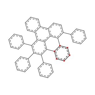 c1ccc(-c2ccc3c4ccccc4c4c(-c5ccccc5)c(-c5ccccc5)c(-c5ccccc5)c(-c5ccccc5)c4c3c2-c2ccccc2)cc1